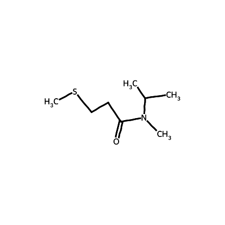 CSCCC(=O)N(C)C(C)C